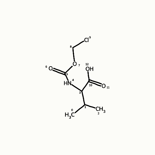 CC(C)C(NC(=O)OCCl)C(=O)O